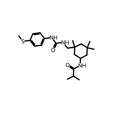 CSc1ccc(NC(=O)NCC2(C)CC(NC(=O)C(C)C)CC(C)(C)C2)cc1